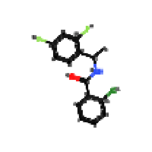 CC(NC(=O)c1ccccc1Cl)c1ccc(F)cc1F